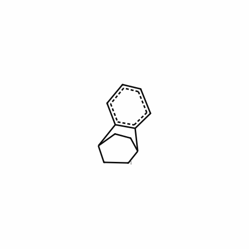 [C]1CC2CCC1c1ccccc12